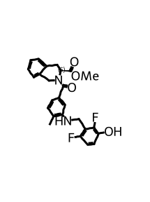 COC(=O)[C@@H]1Cc2ccccc2CN1C(=O)c1ccc(C)c(NCc2c(F)ccc(O)c2F)c1